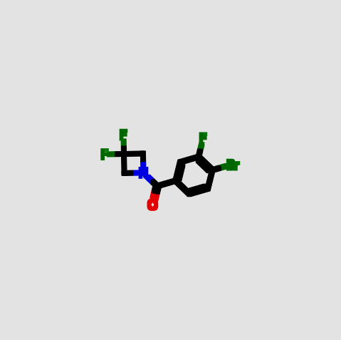 O=C(c1ccc(Br)c(F)c1)N1CC(F)(F)C1